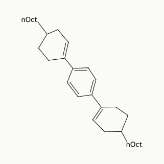 CCCCCCCCC1CC=C(c2ccc(C3=CCC(CCCCCCCC)CC3)cc2)CC1